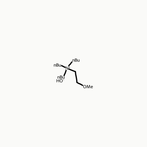 CCCC[N+](CCCC)(CCCC)CCOC.[OH-]